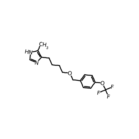 Cc1[nH]cnc1CCCCOCc1ccc(OC(F)(F)F)cc1